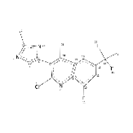 Cc1noc(-c2c(Cl)nc3c(F)cc(C(C)(F)F)cc3c2C)n1